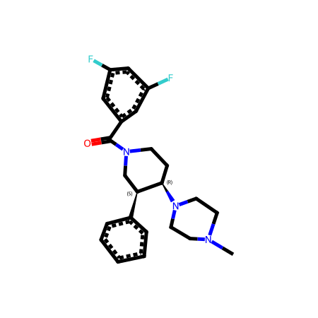 CN1CCN([C@@H]2CCN(C(=O)c3cc(F)cc(F)c3)C[C@@H]2c2ccccc2)CC1